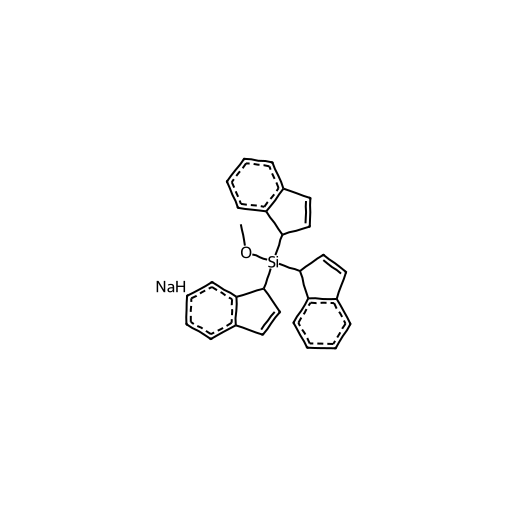 CO[Si](C1C=Cc2ccccc21)(C1C=Cc2ccccc21)C1C=Cc2ccccc21.[NaH]